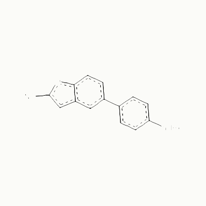 CCCCCCc1ccc(-c2ccc3oc(C#N)cc3c2)cc1